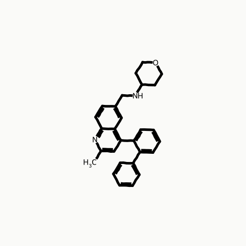 Cc1cc(-c2ccccc2-c2ccccc2)c2cc(CNC3CCOCC3)ccc2n1